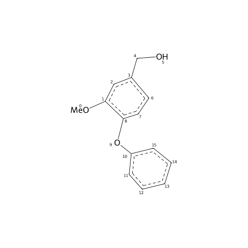 COc1cc(CO)ccc1Oc1ccccc1